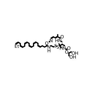 C=N/C=C\C=C(/C)C(=O)NC[C@H](CNC(=O)OC(CO)CO)C(C)(C)SSCCNC(=O)CC/C=C\C/C=C\C/C=C\C/C=C\C/C=C\C/C=C\CC